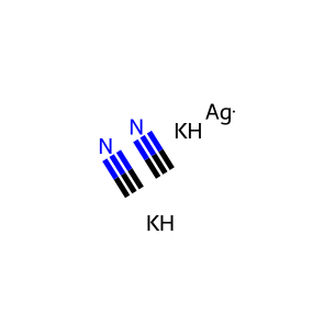 C#N.C#N.[Ag].[KH].[KH]